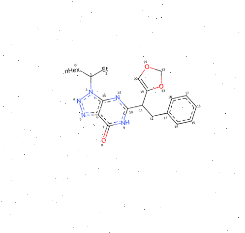 CCCCCCC(CC)n1nnc2c(=O)[nH]c(C(Cc3ccccc3)C3=COCO3)nc21